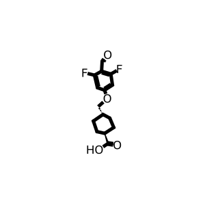 O=Cc1c(F)cc(OC[C@H]2CC[C@H](C(=O)O)CC2)cc1F